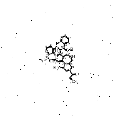 C=CC(=O)N1CC(C)N2c3nc(=O)n(-c4c(C)ccnc4C(C)C)c4c(F)c(-c5ccccc5F)c(Cl)c(c34)NCC2C1